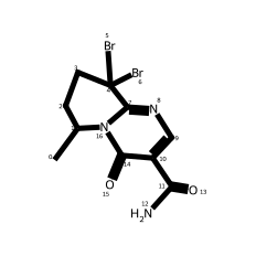 CC1CCC(Br)(Br)c2ncc(C(N)=O)c(=O)n21